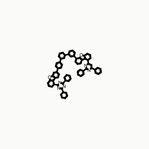 c1ccc(-c2cc(-c3cccc4oc5c(-c6cccc(-c7cccc(-c8ccc(-c9ccc%10c(c9)oc9cccc(-c%11nc(-c%12ccccc%12)nc(-c%12ccccc%12)n%11)c9%10)cc8)c7)c6)cccc5c34)nc(-c3ccccc3)n2)cc1